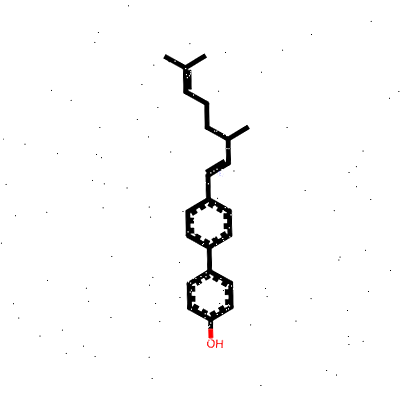 CC(C)=CCCC(C)/C=C/c1ccc(-c2ccc(O)cc2)cc1